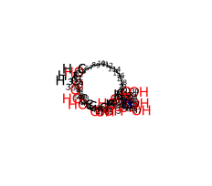 C[C@@H]1[C@H](O)[C@@H](C)/C=C/C=C/C=C/C=C/C=C/C=C/C=C/[C@H](OC2O[C@@H](C)[C@@H](O)C[C@@H]2O)C[C@@H]2O[C@](O)(C[C@@H](O)C[C@@H](O)[C@H](O)CC[C@@H](O)C[C@@H](O)CC(=O)O[C@H]1C)C[C@H](O)[C@H]2C(=O)N1CCC(O)CC1